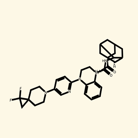 NC(=O)[C@]12CC3CC(C1)[C@H](NC(=O)N1CCN(c4ccc(N5CCC6(CC5)CC6(F)F)cn4)c4ccccc41)C(C3)C2